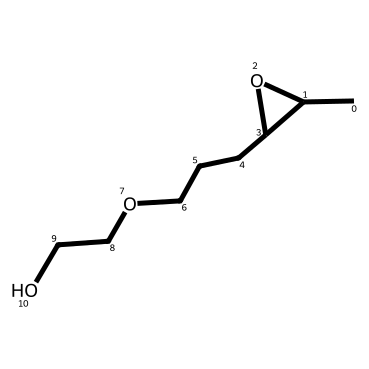 CC1OC1CCCOCCO